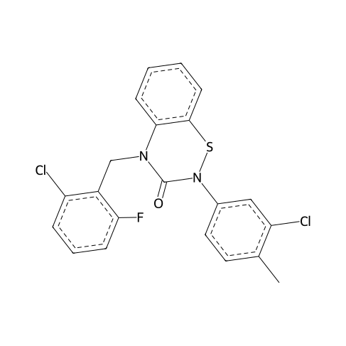 Cc1ccc(N2Sc3ccccc3N(Cc3c(F)cccc3Cl)C2=O)cc1Cl